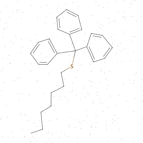 CCCCCCCSC(c1ccccc1)(c1ccccc1)c1ccccc1